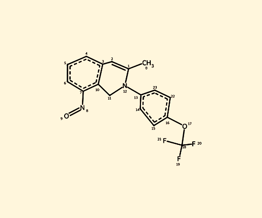 CC1=Cc2cccc(N=O)c2CN1c1ccc(OC(F)(F)F)cc1